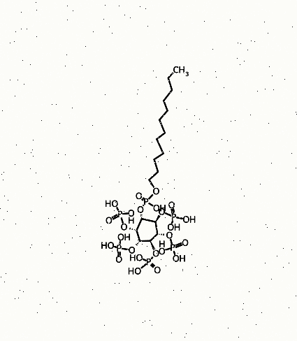 CCCCCCCCCCCCOP(=O)(O)O[C@@H]1[C@@H](OP(=O)(O)O)[C@H](OP(=O)(O)O)[C@@H](OP(=O)(O)O)[C@H](OP(=O)(O)O)[C@@H]1OP(=O)(O)O